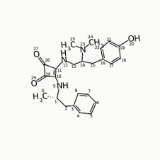 C[C@@H](Cc1ccccc1)Nc1c(NCC(Cc2ccc(O)cc2)N(C)C)c(=O)c1=O